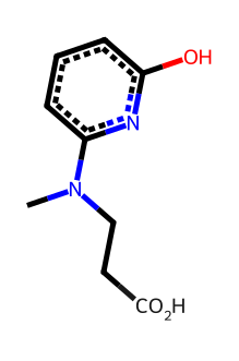 CN(CCC(=O)O)c1cccc(O)n1